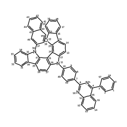 c1ccc(-c2nc(-c3ccc(-n4c5ccc6c7ccccc7oc6c5c5c4ccc4c6ccccc6n(-c6ccc7ccccc7c6)c45)cc3)nc3ccccc23)cc1